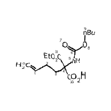 C=CCCC(NC(=O)OCCCC)(C(=O)O)C(=O)OCC